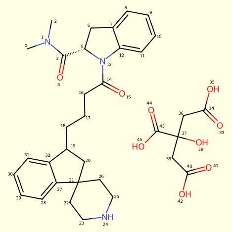 CN(C)C(=O)[C@@H]1Cc2ccccc2N1C(=O)CCCC1CC2(CCNCC2)c2ccccc21.O=C(O)CC(O)(CC(=O)O)C(=O)O